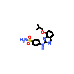 CC(C)COc1cccc2cnc(Nc3ccc(S(N)(=O)=O)cc3)nc12